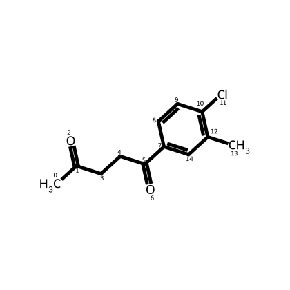 CC(=O)CCC(=O)c1ccc(Cl)c(C)c1